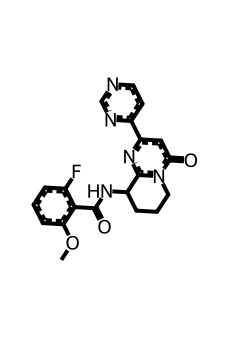 COc1cccc(F)c1C(=O)NC1CCCn2c1nc(-c1ccncn1)cc2=O